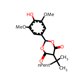 CCCCCC(C)(C)C1C(=O)OC(c2cc(OC)c(O)c(OC)c2)OC1=O